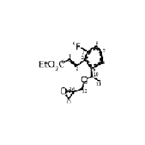 CCOC(=O)/C=C/c1c(F)cccc1[C@@H](C)OCC1CO1